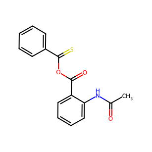 CC(=O)Nc1ccccc1C(=O)OC(=S)c1ccccc1